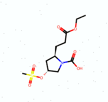 CCOC(=O)CC[C@@H]1C[C@@H](OS(C)(=O)=O)CN1C(=O)O